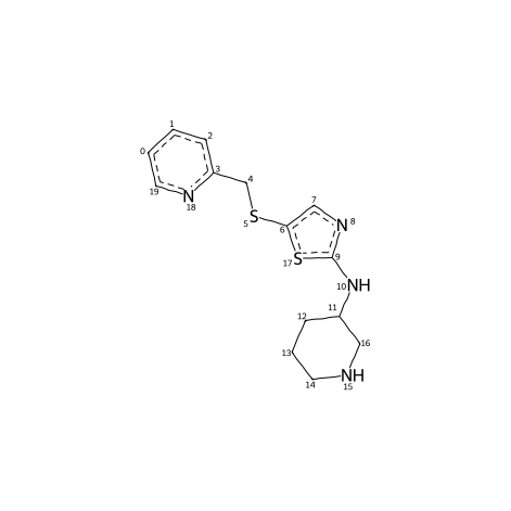 c1ccc(CSc2cnc(NC3CCCNC3)s2)nc1